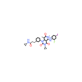 Cc1c(=O)n(C)c(Nc2ccc(I)cc2F)c2c(=O)n(C3CC3)c(=O)n(-c3cccc(CCC(=O)NC4CC4)c3)c12